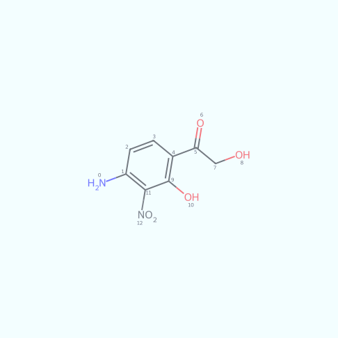 Nc1ccc(C(=O)CO)c(O)c1[N+](=O)[O-]